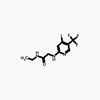 CCNC(=O)CNc1cc(I)c(C(F)(F)F)cn1